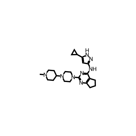 CN1CCC(N2CCN(c3nc4c(c(Nc5cc(C6CC6)[nH]n5)n3)CCC4)CC2)CC1